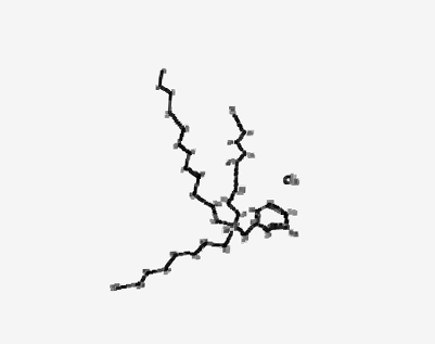 CCCCCCCCCCCC[N+](CCCCCCCC)(CCCCCCCC)Cc1ccccc1.[Cl-]